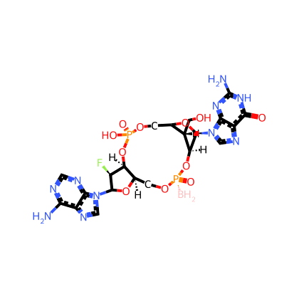 B[P@]1(=O)OC[C@H]2OC(n3cnc4c(N)ncnc43)[C@@H](F)[C@H]2OP(=O)(O)OCC2O[C@@H](n3cnc4c(=O)[nH]c(N)nc43)[C@@H](O1)[C@H]2CO